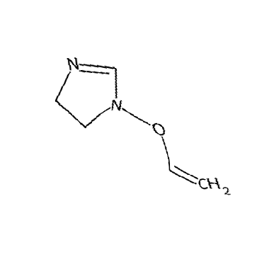 C=CON1C=NCC1